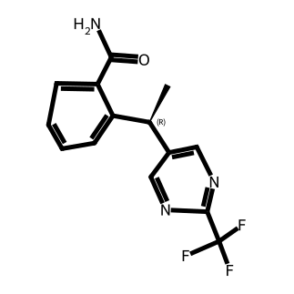 C[C@@H](c1cnc(C(F)(F)F)nc1)c1ccccc1C(N)=O